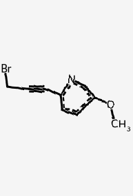 COc1ccc(C#CCBr)nc1